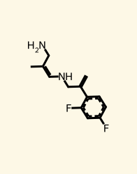 C=C(CN/C=C(/C)CN)c1ccc(F)cc1F